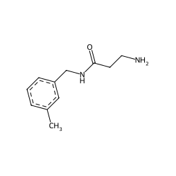 Cc1cccc(CNC(=O)CCN)c1